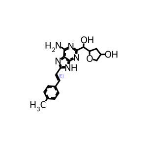 Cc1ccc(/C=C/c2nc3c(N)nc(C(O)C4CC(O)CO4)nc3[nH]2)cc1